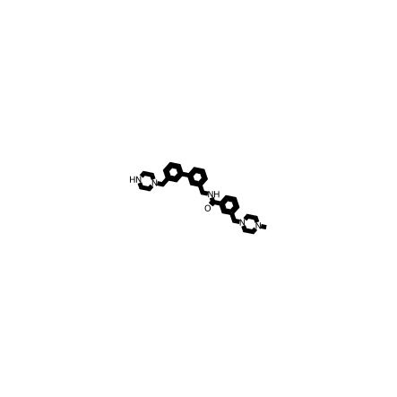 CN1CCN(Cc2cccc(C(=O)NCc3cccc(-c4cccc(CN5CCNCC5)c4)c3)c2)CC1